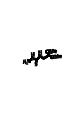 COC(CNC(=S)NN)OC